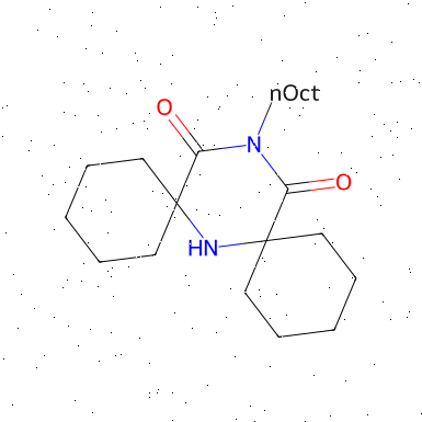 CCCCCCCCN1C(=O)C2(CCCCC2)NC2(CCCCC2)C1=O